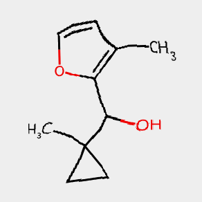 Cc1ccoc1C(O)C1(C)CC1